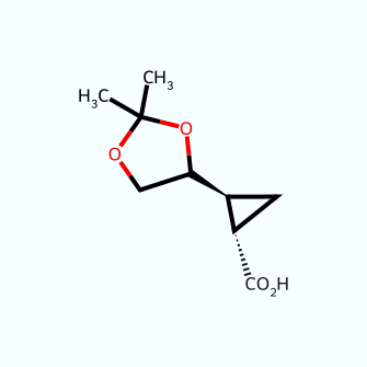 CC1(C)OCC([C@H]2C[C@@H]2C(=O)O)O1